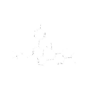 Cc1c(C(N)=O)ccc(-c2cnc3c(NCC(C)(C)O)nc(-c4ccc(F)cc4)cn23)c1C1CC1